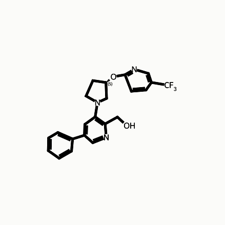 OCc1ncc(-c2ccccc2)cc1N1CC[C@H](Oc2ccc(C(F)(F)F)cn2)C1